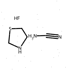 C1CSCN1.F.N#CN